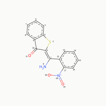 NC(=C1Sc2ccccc2C1=O)c1ccccc1[N+](=O)[O-]